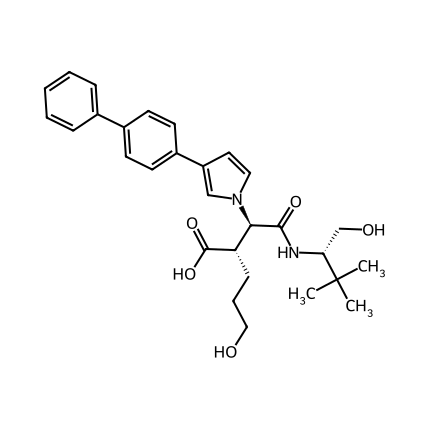 CC(C)(C)[C@@H](CO)NC(=O)[C@@H]([C@H](CCCO)C(=O)O)n1ccc(-c2ccc(-c3ccccc3)cc2)c1